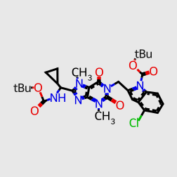 Cn1c(C(NC(=O)OC(C)(C)C)C2CC2)nc2c1c(=O)n(Cc1cc3c(Cl)cccc3n1C(=O)OC(C)(C)C)c(=O)n2C